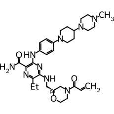 C=CC(=O)N1CCO[C@@H](CNc2nc(Nc3ccc(N4CCC(N5CCN(C)CC5)CC4)cc3)c(C(N)=O)nc2CC)C1